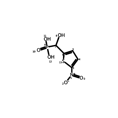 O=[N+]([O-])c1ccc(C(O)P(=O)(O)O)s1